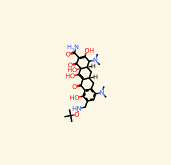 CN(C)c1cc(CNOC(C)(C)C)c(O)c2c1C[C@H]1C[C@H]3C(N(C)C)C(O)=C(C(N)=O)C(=O)[C@@]3(O)C(O)=C1C2=O